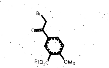 CCOC(=O)c1cc(C(=O)CBr)ccc1OC